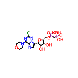 O=P(O)(O)CP(=O)(O)OC[C@H]1O[C@@H](c2cnc3c(N4CCOCC4)nc(Cl)nn23)[C@H](O)[C@@H]1O